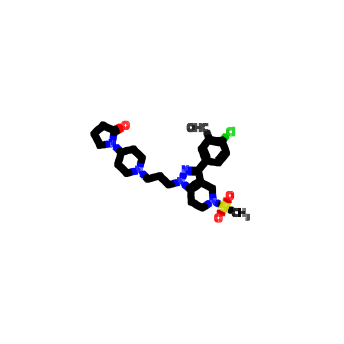 CS(=O)(=O)N1CCc2c(c(-c3ccc(Cl)c(C=O)c3)nn2CCCN2CCC(N3CCCC3=O)CC2)C1